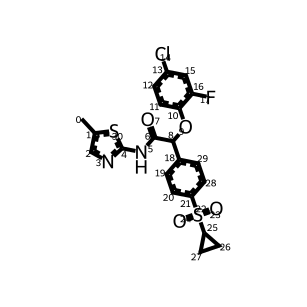 Cc1cnc(NC(=O)C(Oc2ccc(Cl)cc2F)c2ccc(S(=O)(=O)C3CC3)cc2)s1